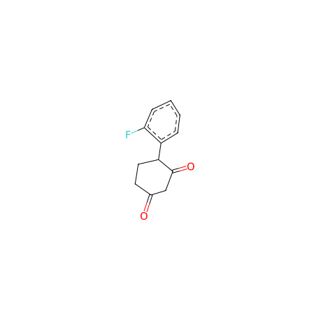 O=C1CCC(c2ccccc2F)C(=O)C1